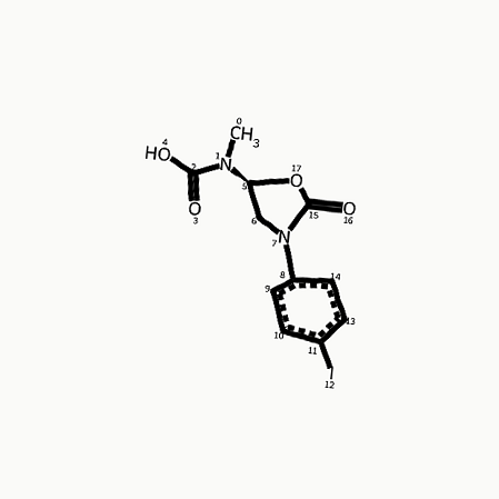 CN(C(=O)O)[C@@H]1CN(c2ccc(I)cc2)C(=O)O1